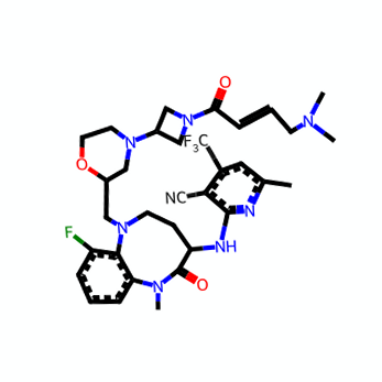 Cc1cc(C(F)(F)F)c(C#N)c(NC2CCN(CC3CN(C4CN(C(=O)/C=C/CN(C)C)C4)CCO3)c3c(F)cccc3N(C)C2=O)n1